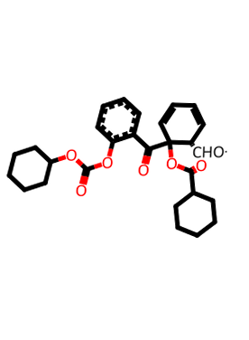 O=[C]C1C=CC=CC1(OC(=O)C1CCCCC1)C(=O)c1ccccc1OC(=O)OC1CCCCC1